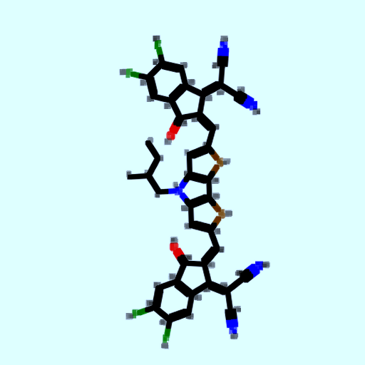 CCC(C)Cn1c2cc(/C=C3\C(=O)c4cc(F)c(F)cc4C3=C(C#N)C#N)sc2c2sc(/C=C3\C(=O)c4cc(F)c(F)cc4C3=C(C#N)C#N)cc21